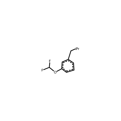 CC(C)Cc1cccc(OC(F)F)c1